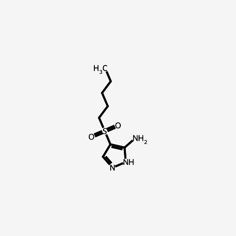 CCCCCS(=O)(=O)c1cn[nH]c1N